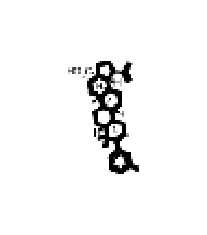 C=C(C)[C@@H]1CC[C@]2(C(=O)O)CC[C@]3(C)[C@H](CC[C@@H]4[C@@]5(C)CC=C(c6cccc(C)c6)C(C)(C)[C@@H]5CC[C@]43C)[C@@H]12